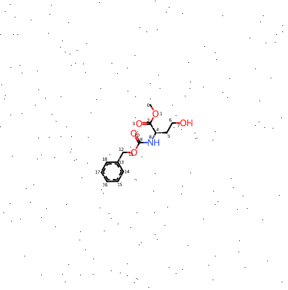 COC(=O)[C@@H](CCO)NC(=O)OCc1ccccc1